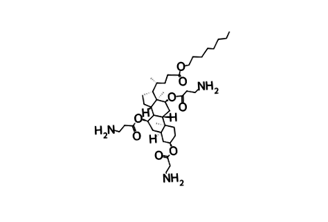 CCCCCCCCOC(=O)CC[C@@H](C)[C@H]1CC[C@H]2C3[C@H](OC(=O)CCN)C[C@@H]4C[C@H](OC(=O)CCN)CC[C@]4(C)[C@H]3C[C@H](OC(=O)CCN)[C@]12C